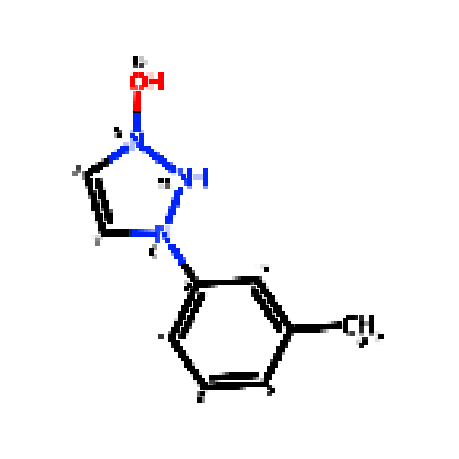 Cc1cccc(N2C=CN(O)N2)c1